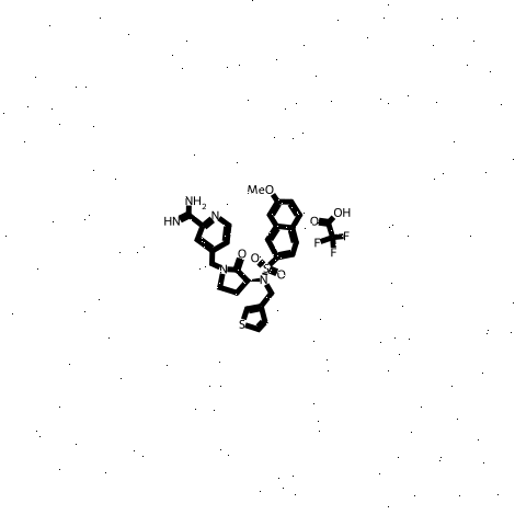 COc1ccc2ccc(S(=O)(=O)N(Cc3ccsc3)[C@H]3CCN(Cc4ccnc(C(=N)N)c4)C3=O)cc2c1.O=C(O)C(F)(F)F